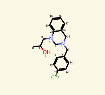 CC(O)CN1CN(Cc2ccc(Cl)cc2)Cc2ccccc21